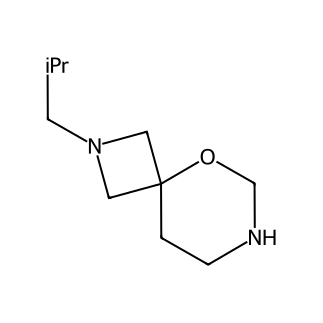 CC(C)CN1CC2(CCNCO2)C1